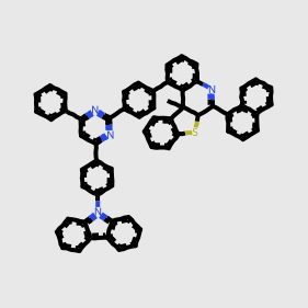 CC12c3ccccc3SC1C(c1cccc3ccccc13)=Nc1cccc(-c3ccc(-c4nc(-c5ccccc5)cc(-c5ccc(-n6c7ccccc7c7ccccc76)cc5)n4)cc3)c12